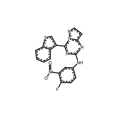 O=[N+]([O-])c1cc(Nc2nc(-c3csc4ccccc34)n3nccc3n2)ccc1F